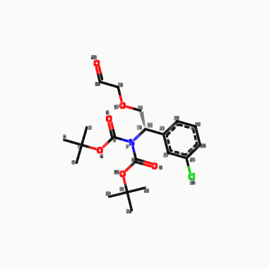 CC(C)(C)OC(=O)N(C(=O)OC(C)(C)C)[C@H](COCC=O)c1cccc(Cl)c1